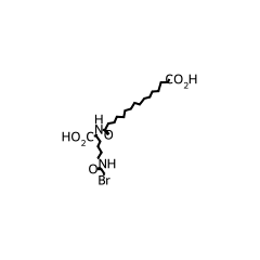 O=C(O)CCCCCCCCCCCCCCC(=O)NC(CCCCNC(=O)CBr)C(=O)O